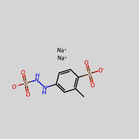 Cc1cc(NNS(=O)(=O)[O-])ccc1S(=O)(=O)[O-].[Na+].[Na+]